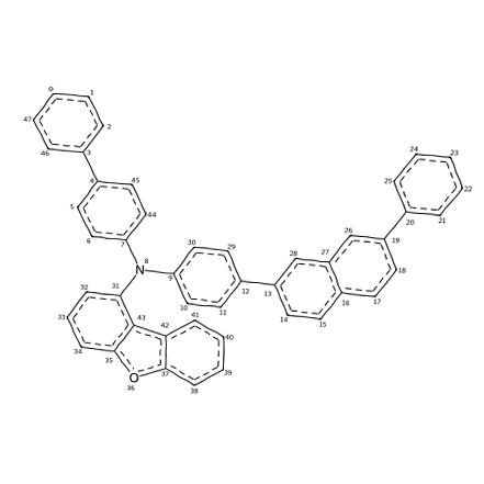 c1ccc(-c2ccc(N(c3ccc(-c4ccc5ccc(-c6ccccc6)cc5c4)cc3)c3cccc4oc5ccccc5c34)cc2)cc1